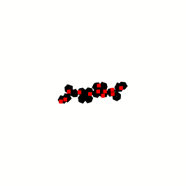 c1ccc(C2(c3ccccc3)c3cc(-c4ccc5c(c4)C(c4ccccc4)(c4ccccc4)c4cc(-c6ccc7c(c6)c6ccccc6n7-c6ccc7ccccc7c6)ccc4-5)ccc3-c3ccc(-c4ccc5c(c4)c4ccccc4n5-c4ccc5ccccc5c4)cc32)cc1